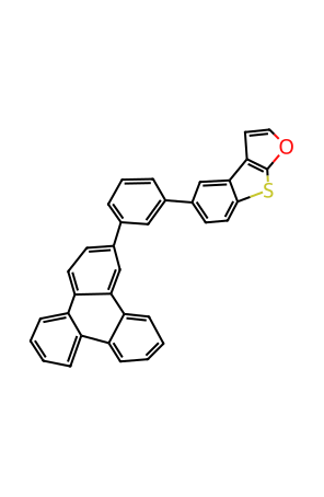 c1cc(-c2ccc3sc4occc4c3c2)cc(-c2ccc3c4ccccc4c4ccccc4c3c2)c1